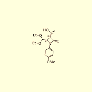 CCOC(OCC)[C@H]1[C@H]([C@H](C)O)C(=O)N1c1ccc(OC)cc1